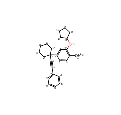 COc1ccc(C2(C#Cc3ccccc3)CCCCC2)cc1OC1CCCC1